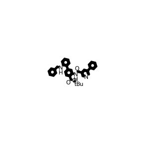 CC(C)(C)OC(=O)c1ccc(-c2ccccc2NCc2ccccc2)cc1NC(=O)c1cncc(-c2ccccc2)c1